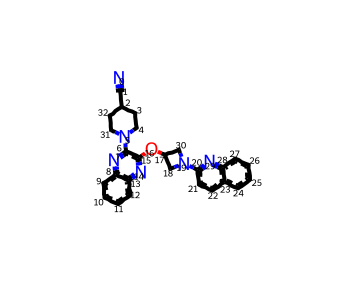 N#CC1CCN(c2nc3ccccc3nc2OC2CN(c3ccc4ccccc4n3)C2)CC1